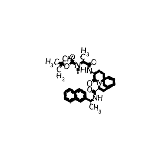 C[C@@H](NC(=O)[C@@H]1CC2=CC=CC3(CC[C@H](NC(=O)[C@H](C)N(I)C(=O)OC(C)(C)C)C(=O)N13)C2)c1ccc2ccccc2c1